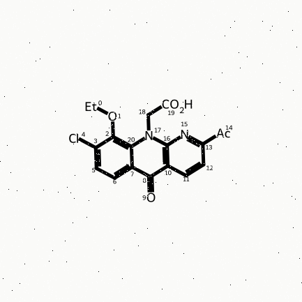 CCOc1c(Cl)ccc2c(=O)c3ccc(C(C)=O)nc3n(CC(=O)O)c12